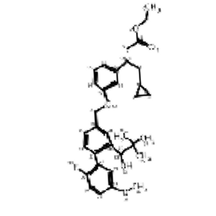 CCOC(=O)C[C@H](CC1CC1)c1cccc(OCc2ccc(-c3cc(OC)ccc3F)c([C@H](O)C(C)(C)C)c2)c1